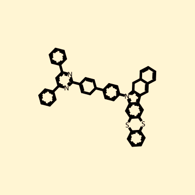 C1=CC2=Cc3c(n(-c4ccc(C5C=CC(c6nc(-c7ccccc7)cc(-c7ccccc7)n6)=CC5)cc4)c4cc5c(cc34)Sc3ccccc3S5)CC2C=C1